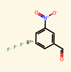 O=Cc1cccc([N+](=O)[O-])c1.[B+3].[F-].[F-].[F-]